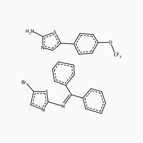 Brc1cnc(N=C(c2ccccc2)c2ccccc2)s1.Nc1ncc(-c2ccc(OC(F)(F)F)cc2)s1